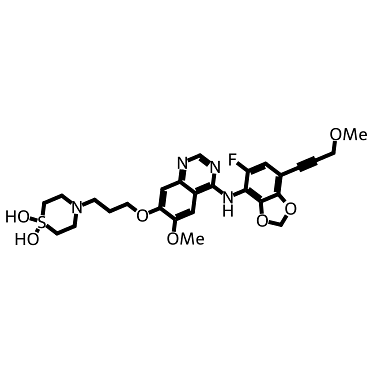 COCC#Cc1cc(F)c(Nc2ncnc3cc(OCCCN4CCS(O)(O)CC4)c(OC)cc23)c2c1OCO2